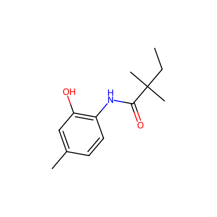 CCC(C)(C)C(=O)Nc1ccc(C)cc1O